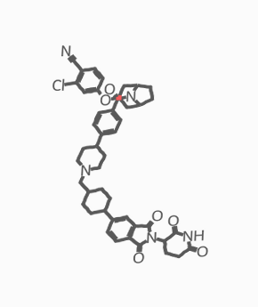 N#Cc1ccc(OC2CC3CCC(C2)N3C(=O)c2ccc(C3CCN(CC4CCC(c5ccc6c(c5)C(=O)N(C5CCC(=O)NC5=O)C6=O)CC4)CC3)cc2)cc1Cl